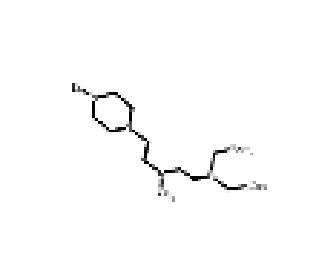 CCCCCCCCCCCN(CCN(C)CCN1CCN(CC)CC1)CC(C)CCC